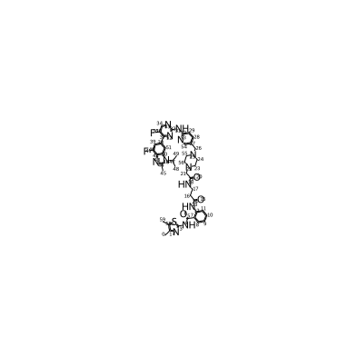 Cc1nc(NC(=O)c2ccccc2NC(=O)CCNC(=O)CN2CCN(Cc3ccc(Nc4ncc(F)c(-c5cc(F)c6nc(C)n(C(C)C)c6c5)n4)nc3)CC2)sc1C